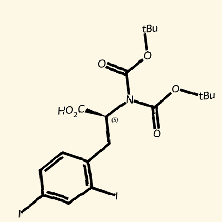 CC(C)(C)OC(=O)N(C(=O)OC(C)(C)C)[C@@H](Cc1ccc(I)cc1I)C(=O)O